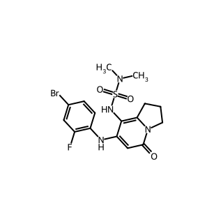 CN(C)S(=O)(=O)Nc1c(Nc2ccc(Br)cc2F)cc(=O)n2c1CCC2